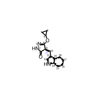 O=C1NN=C(OC2CC2)/C1=C/c1c[nH]c2ccccc12